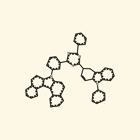 C1=CC(c2nc(-c3ccccc3)nc(-c3cccc(-n4c5ccc6ccccc6c5c5c6ccccc6ccc54)c3)n2)Cc2c1n(-c1ccccc1)c1ccccc21